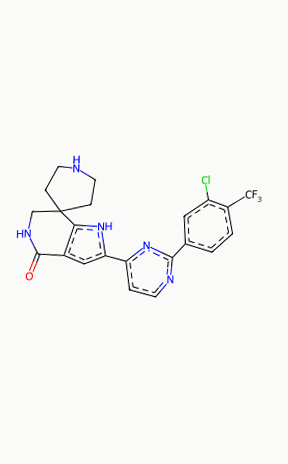 O=C1NCC2(CCNCC2)c2[nH]c(-c3ccnc(-c4ccc(C(F)(F)F)c(Cl)c4)n3)cc21